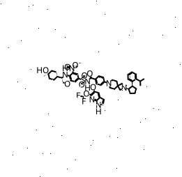 CC(C)c1ccccc1[C@H]1CCC[C@H]1N1CC2(CCN(c3ccc(C(=O)NS(=O)(=O)c4cc5c(c([N+](=O)[O-])c4)N[C@@H]([C@H]4CC[C@](C)(O)CC4)CO5)c(Oc4cc5cc[nH]c5nc4OC(F)F)c3)CC2)C1